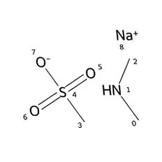 CNC.CS(=O)(=O)[O-].[Na+]